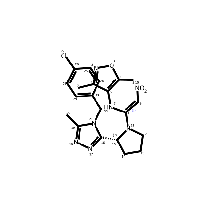 Cc1noc(C)c1N/C(=C\[N+](=O)[O-])N1CCC[C@@H]1c1nnc(C)n1Cc1ccc(Cl)cc1